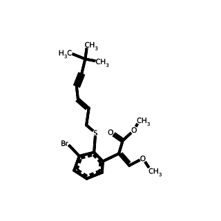 COC=C(C(=O)OC)c1cccc(Br)c1SCC=CC#CC(C)(C)C